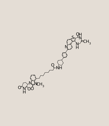 C[C@@H]1CNc2c(sc3ccc4nc(-c5ccc(C6CCC(NC(=O)CCCCCCCc7cccc8c7n(C)c(=O)n8C7CCC(=O)NC7=O)CC6)cc5)ccc4c23)C(=O)N1